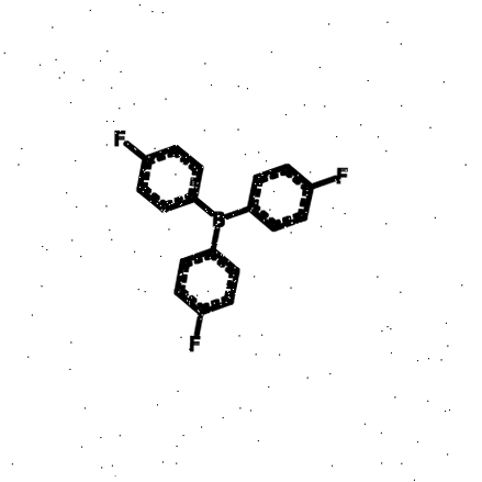 Fc1ccc(B(c2ccc(F)cc2)c2ccc(F)cc2)cc1